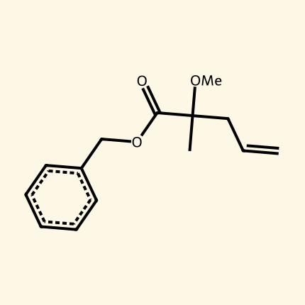 C=CCC(C)(OC)C(=O)OCc1ccccc1